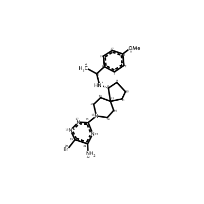 COc1ccc(C(C)N[C@@H]2CCCC23CCN(c2nnc(Br)c(N)n2)CC3)cc1